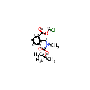 CN(Cc1ccccc1C(=O)OCCl)C(=O)OC(C)(C)C